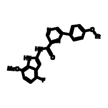 CCOc1ccc(-c2cncc(C(=O)Nc3cc4c(F)ccc(OC)c4[nH]3)n2)cc1